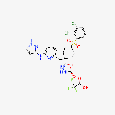 O=C(O)C(F)(F)F.O=c1[nH]nc([C@]2(Cc3cccc(Nc4cc[nH]n4)n3)CC[C@@H](S(=O)(=O)c3cccc(Cl)c3Cl)CC2)o1